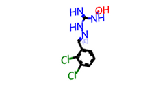 N=C(NO)N/N=C/c1cccc(Cl)c1Cl